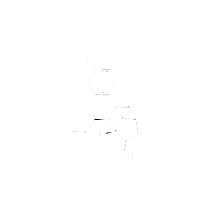 CCC(=O)[C@@H]1[C@@H]2CC(CC2O)C[C@H]1c1ccc(F)cc1